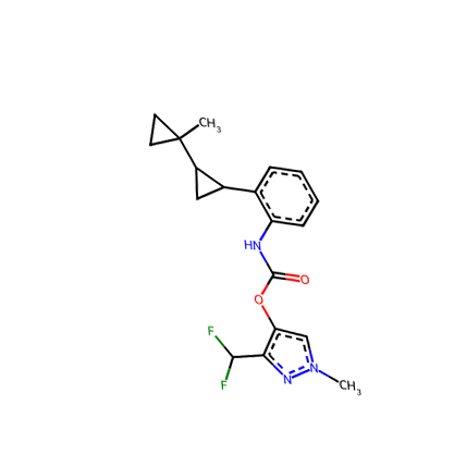 Cn1cc(OC(=O)Nc2ccccc2C2CC2C2(C)CC2)c(C(F)F)n1